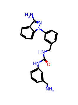 NCc1cccc(NC(=O)NCc2cccc(-n3nc(N)c4ccccc43)c2)c1